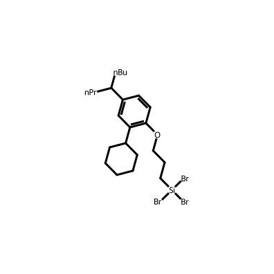 CCCCC(CCC)c1ccc(OCCC[Si](Br)(Br)Br)c(C2CCCCC2)c1